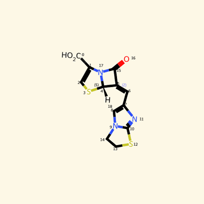 O=C(O)C1=CS[C@H]2/C(=C\c3cn4c(n3)SCC4)C(=O)N12